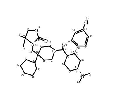 CN(C)[C@@H]1CCC(C(=O)N2CCC(CN3C(=O)OCC3(C)C)(C3CCCCC3)CC2)[C@H](c2ccc(Cl)cc2)C1